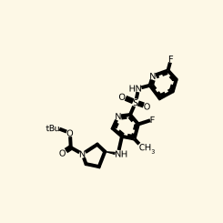 Cc1c(N[C@H]2CCN(C(=O)OC(C)(C)C)C2)cnc(S(=O)(=O)Nc2cccc(F)n2)c1F